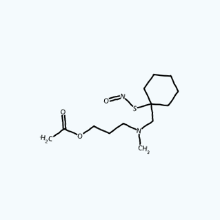 [CH2]C(=O)OCCCN(C)CC1(SN=O)CCCCC1